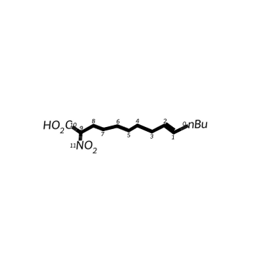 CCCCC=CCCCCCCC(C(=O)O)[N+](=O)[O-]